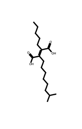 CCCCCC(C(=O)O)=C(CCCCCCC(C)C)C(=O)O